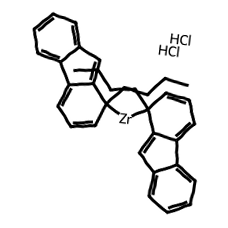 CCCC[C]1([Zr][C]2(CCCC)C=CC=C3C2=Cc2ccccc23)C=CC=C2C1=Cc1ccccc12.Cl.Cl